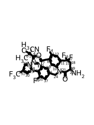 CC(C)(C#N)c1nnc(-c2cc3c(cc2F)C(F)(F)C[C@@H](N)C(=O)N3Cc2ccc(-n3cc(C(F)(F)F)cn3)c(F)c2)o1